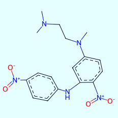 CN(C)CCN(C)c1ccc([N+](=O)[O-])c(Nc2ccc([N+](=O)[O-])cc2)c1